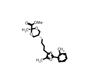 COC(=O)[C@]1(C)OC[C@H](CCCCc2nc(-c3ccccc3C)oc2C)CO1